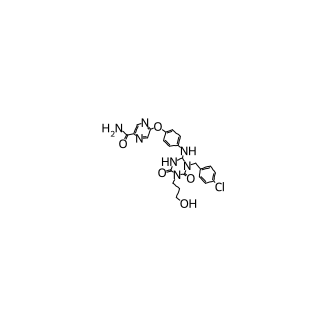 NC(=O)c1cnc(Oc2ccc(NC3NC(=O)N(CCCO)C(=O)N3Cc3ccc(Cl)cc3)cc2)cn1